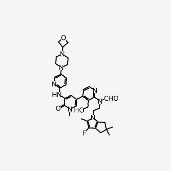 Cc1c(F)c2c(n1CCN(C=O)c1nccc(-c3cc(Nc4ccc(N5CCN(C6COC6)CC5)cn4)c(=O)n(C)c3)c1CO)CC(C)(C)C2